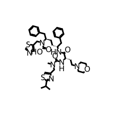 CC(C)c1nc(CN(C)C(=O)N[C@@H](CCN2CCOCC2)C(=O)N[C@H](CC[C@H](Cc2ccccc2)N(Cc2cncs2)C(=O)O)Cc2ccccc2)cs1